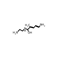 C/C(=C\C=C\N)C(O)NCCN